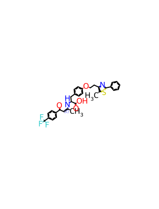 C/C(=C/C(=O)c1ccc(C(F)(F)F)cc1)NC(Cc1ccc(OCCc2nc(-c3ccccc3)sc2C)cc1)C(=O)O